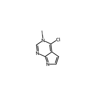 Clc1c2ccnc-2ncn1I